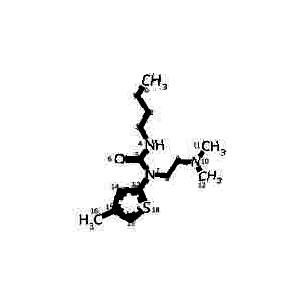 CCCCNC(=O)N(CCN(C)C)c1cc(C)cs1